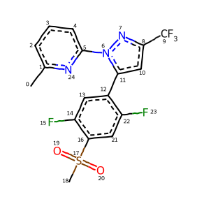 Cc1cccc(-n2nc(C(F)(F)F)cc2-c2cc(F)c(S(C)(=O)=O)cc2F)n1